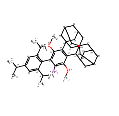 COc1c(P)c(-c2c(C(C)C)cc(C(C)C)cc2C(C)C)c(OC)c(C23CC4CC(CC(C4)C2)C3)c1C1C2CC3CC(C2)CC1C3